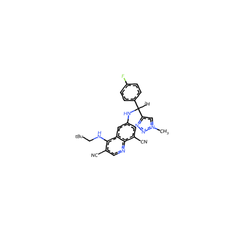 [2H]C(Nc1cc(C#N)c2ncc(C#N)c(NCC(C)(C)C)c2c1)(c1ccc(F)cc1)c1cn(C)nn1